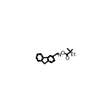 CCC(C)(C)C(=O)O/N=C/c1ccc2c(c1)-c1ccccc1C2